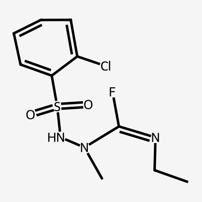 CC/N=C(/F)N(C)NS(=O)(=O)c1ccccc1Cl